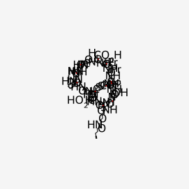 C#CCCCC(=O)NCCOCCC(=O)N[C@H]1C[C@H]2C(=O)N[C@@H](CC(=O)O)C(=O)N[C@H]3CSSC[C@H](NC(=O)[C@H](Cc4c[nH]c5ccccc45)NC(=O)[C@H](C(C)C)NC(=O)[C@H](CC(C)C)NC(=O)[C@H](CCC(=O)O)NC(=O)CNC(=O)[C@H](CC(C)C)NC(=O)[C@H](Cc4cnc[nH]4)NC(=O)[C@H](Cc4c[nH]c5ccccc45)NC(=O)[C@H](C)NC3=O)C(=O)N[C@@H]([C@@H](C)O)C(=O)N3CCC[C@@H]3C(=O)N2C1